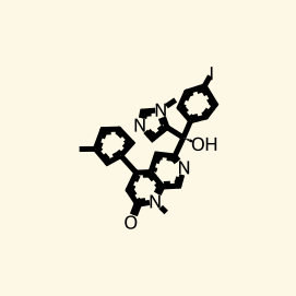 Cc1cccc(-c2cc(=O)n(C)c3cnc([C@](O)(c4ccc(I)cc4)c4cncn4C)cc23)c1